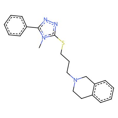 Cn1c(SCCCN2CCc3ccccc3C2)nnc1-c1ccccc1